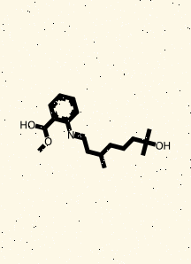 COC(O)c1ccccc1/N=C/CC(C)CCCC(C)(C)O